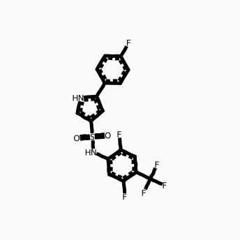 O=S(=O)(Nc1cc(F)c(C(F)(F)F)cc1F)c1c[nH]c(-c2ccc(F)cc2)c1